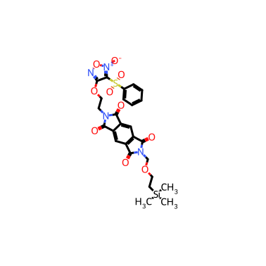 C[Si](C)(C)CCOCn1c(=O)c2cc3c(=O)n(CCOc4no[n+]([O-])c4S(=O)(=O)c4ccccc4)c(=O)c3cc2c1=O